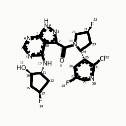 O=C(c1n[nH]c2ncnc(N[C@@H]3C[C@@H](F)C[C@H]3O)c12)N1C[C@@H](F)C[C@@H]1c1cc(F)cnc1Cl